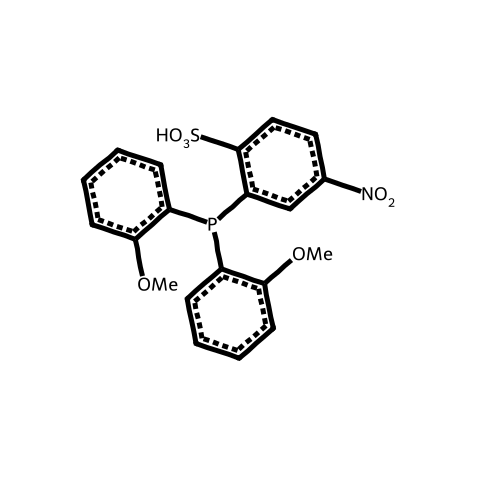 COc1ccccc1P(c1ccccc1OC)c1cc([N+](=O)[O-])ccc1S(=O)(=O)O